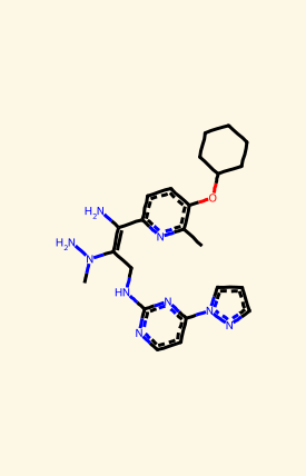 Cc1nc(/C(N)=C(\CNc2nccc(-n3cccn3)n2)N(C)N)ccc1OC1CCCCC1